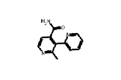 Cc1nccc(C(N)=O)c1-c1ccccn1